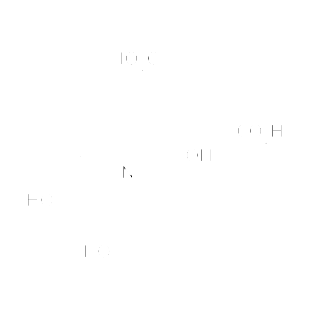 CC(O)N(C(C)O)C(C)O.O=C(O)CCC(=O)O